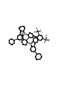 N#Cc1cccc(-n2c3ccccc3c3cc(-c4ccccc4)ccc32)c1-c1cc(-c2ccc(C(F)(F)F)cc2C(F)(F)F)ccc1-n1c2ccccc2c2cc(-c3ccccc3)ccc21